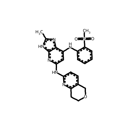 Cc1nc2c(Nc3ccccc3S(C)(=O)=O)cc(Nc3ccc4c(n3)CCOC4)nc2[nH]1